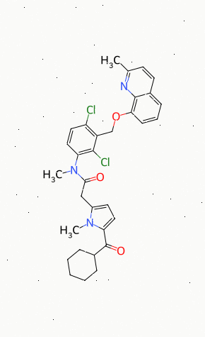 Cc1ccc2cccc(OCc3c(Cl)ccc(N(C)C(=O)Cc4ccc(C(=O)C5CCCCC5)n4C)c3Cl)c2n1